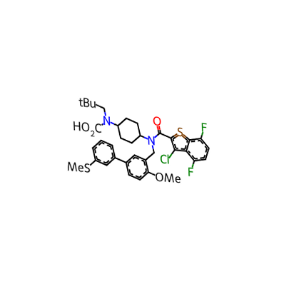 COc1ccc(-c2cccc(SC)c2)cc1CN(C(=O)c1sc2c(F)ccc(F)c2c1Cl)C1CCC(N(CC(C)(C)C)C(=O)O)CC1